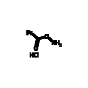 CC(C)C(=O)ON.Cl